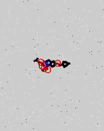 COC(=O)C1c2ccc(OCc3ccc(C)cc3)cc2CCN1C(=O)OCC(C)C